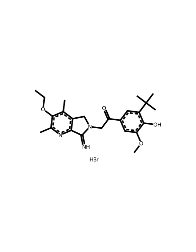 Br.CCOc1c(C)nc2c(c1C)CN(CC(=O)c1cc(OC)c(O)c(C(C)(C)C)c1)C2=N